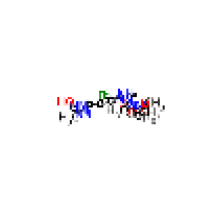 CNC(c1nc2cc(-c3ccc4c(c3)C(F)(F)c3cc(-c5c[nH]c(C6CC7(CC7)CN6C(=O)C(NC(=O)C(NC(=O)OC)C(C)C)C(C)C)n5)ccc3-4)ccc2[nH]1)C1CCC(O)C1